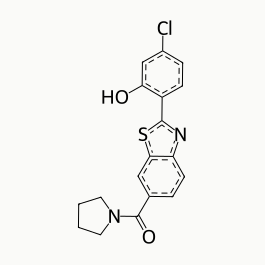 O=C(c1ccc2nc(-c3ccc(Cl)cc3O)sc2c1)N1CCCC1